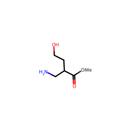 COC(=O)C(CN)CCO